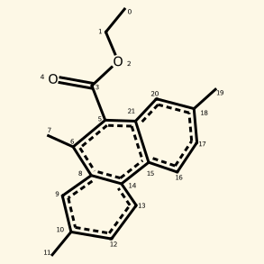 CCOC(=O)c1c(C)c2cc(C)ccc2c2ccc(C)cc12